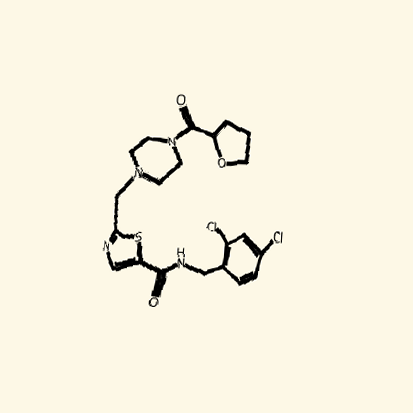 O=C(NCc1ccc(Cl)cc1Cl)c1cnc(CN2CCN(C(=O)C3CCCO3)CC2)s1